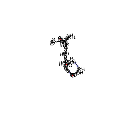 CO[C@H]1/C=C/O[C@@]2(C)Oc3c(C)c(O)c4c(=O)c(c5oc6cc(N7CCC(NC(=O)OCc8ccc(NC(=O)[C@H](CCCNC(=N)N)NC(=O)[C@H](Cc9ccccc9)NC(=O)CCCCCN9C(=O)C=CC9=O)cc8)CC7)cc(O)c6nc-5c4c3C2=O)NC(=O)/C(C)=C\C=C\[C@H](C)[C@H](O)[C@@H](C)[C@@H](O)[C@@H](C)[C@H](OC(C)=O)[C@@H]1C